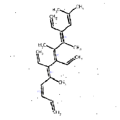 C=C\C=C/C(C)=C(C=C)/C(C=C)=C(C)/C(C)=C(\C=C)C=C(C)C